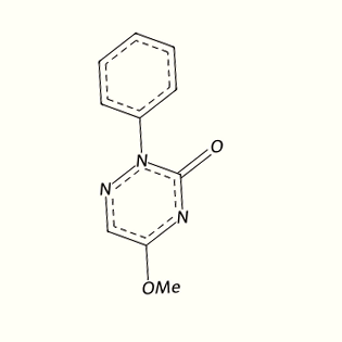 COc1cnn(-c2ccccc2)c(=O)n1